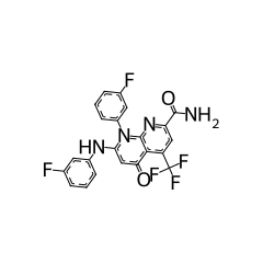 NC(=O)c1cc(C(F)(F)F)c2c(=O)cc(Nc3cccc(F)c3)n(-c3cccc(F)c3)c2n1